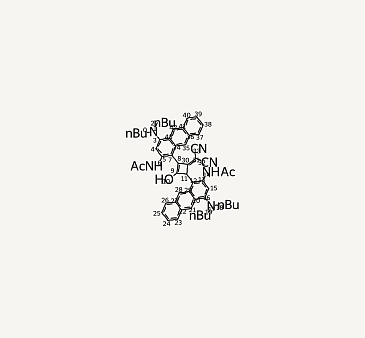 CCCCN(CCCC)c1cc(NC(C)=O)c(C2=C(O)C(c3c(NC(C)=O)cc(N(CCCC)CCCC)c4cc5ccccc5cc34)C2=C(C#N)C#N)c2cc3ccccc3cc12